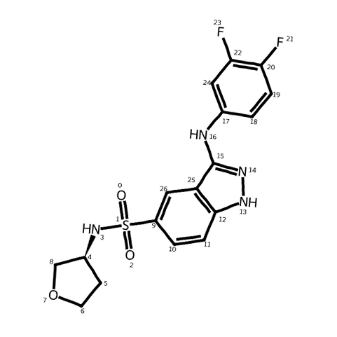 O=S(=O)(N[C@H]1CCOC1)c1ccc2[nH]nc(Nc3ccc(F)c(F)c3)c2c1